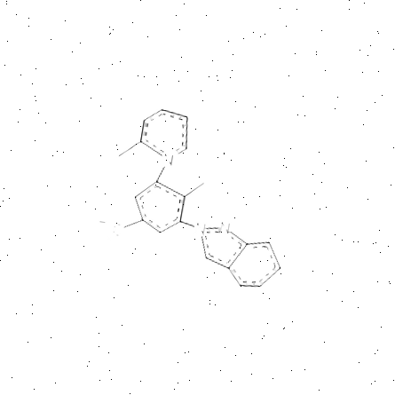 Cc1c(-n2cc3ccccc3n2)cc(C(F)(F)F)cc1-[n+]1ccccc1C